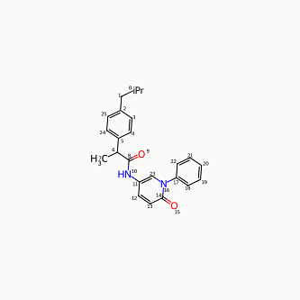 CC(C)Cc1ccc(C(C)C(=O)Nc2ccc(=O)n(-c3ccccc3)c2)cc1